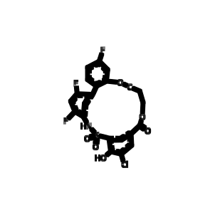 O=C1OCCCOc2cc(F)ccc2-c2cc(c(F)cc2F)NS(=O)(=O)c2cc1cc(Cl)c2O